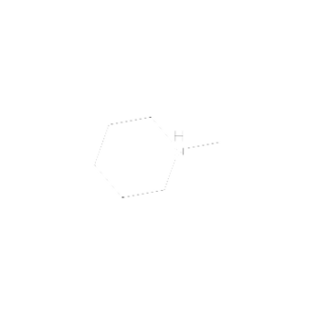 C[SiH]1CCCCC1